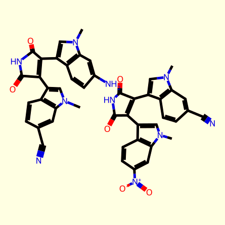 Cn1cc(C2=C(c3cn(C)c4cc(C#N)ccc34)C(=O)NC2=O)c2ccc(N)cc21.Cn1cc(C2=C(c3cn(C)c4cc([N+](=O)[O-])ccc34)C(=O)NC2=O)c2ccc(C#N)cc21